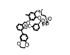 Cc1cc(CN(C)CCS(=O)(=O)OC(C)C)c(OCc2cccc(C#N)c2)cc1OCc1cccc(-c2ccc3c(c2)OCCO3)c1C